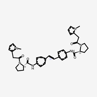 Cn1cccc1CC(=O)N1CCC[C@H]1C(=O)Nc1ccc(/C=C/c2ccc(NC(=O)[C@@H]3CCCN3C(=O)Cc3cccn3C)cc2)cc1